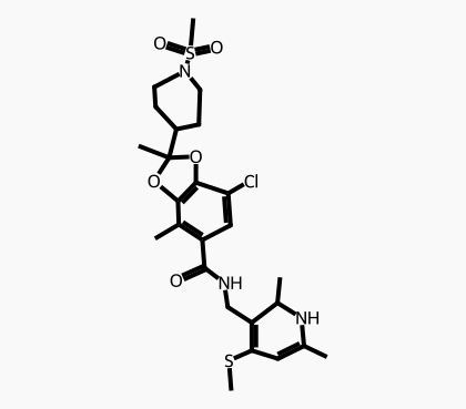 CSC1=C(CNC(=O)c2cc(Cl)c3c(c2C)OC(C)(C2CCN(S(C)(=O)=O)CC2)O3)C(C)NC(C)=C1